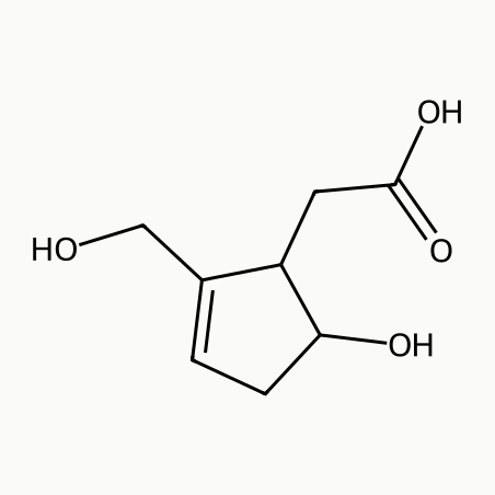 O=C(O)CC1C(CO)=CCC1O